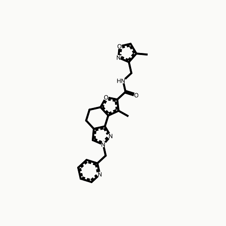 Cc1conc1CNC(=O)c1oc2c(c1C)-c1nn(Cc3ccccn3)cc1CC2